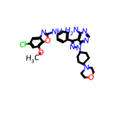 COc1cc(Cl)cc2nc(Nc3ccc(-c4nn(C5CCC(N6CCOCC6)CC5)c5ncnc(N)c45)cc3)oc12